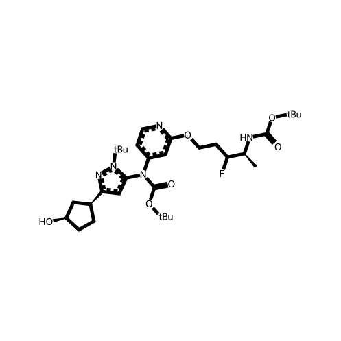 C[C@H](NC(=O)OC(C)(C)C)C(F)CCOc1cc(N(C(=O)OC(C)(C)C)c2cc([C@H]3CC[C@@H](O)C3)nn2C(C)(C)C)ccn1